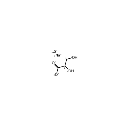 O=C([O-])C(O)CO.[Na+].[Zr]